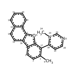 Cc1ccc2c(oc3c4ccccc4ccc23)c1-c1ccnc[n+]1C